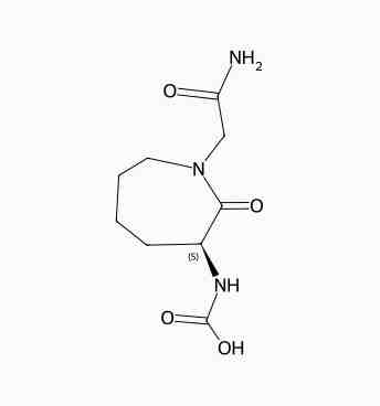 NC(=O)CN1CCCC[C@H](NC(=O)O)C1=O